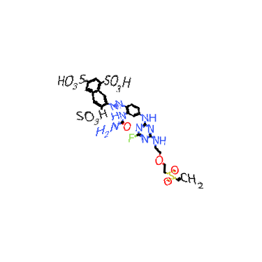 C=CS(=O)(=O)CCOCCNc1nc(F)nc(Nc2ccc(/N=N/c3cc4c(S(=O)(=O)O)cc(S(=O)(=O)O)cc4cc3S(=O)(=O)O)c(NC(N)=O)c2)n1